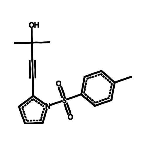 Cc1ccc(S(=O)(=O)n2cccc2C#CC(C)(C)O)cc1